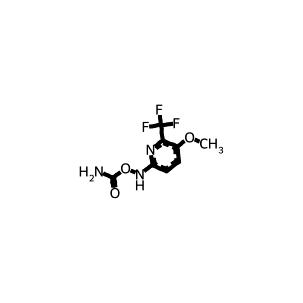 COc1ccc(NOC(N)=O)nc1C(F)(F)F